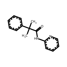 CC(C)(C(=O)Nc1ccccn1)c1ccccc1